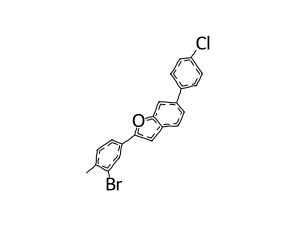 Cc1ccc(-c2cc3ccc(-c4ccc(Cl)cc4)cc3o2)cc1Br